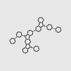 c1ccc(-c2ccc(-n3c4ccccc4c4cc(-c5ccc6c(c5)c5cc7c(cc5n6-c5cccc(-c6ccccc6)c5)c5ccccc5n7-c5ccccc5)ccc43)cc2)cc1